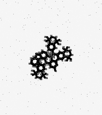 Cc1cc(-c2cc3c(cc2Nc2ccc4c(c2)C(C)(C)CCC4(C)C)C(C)(C)CCC3(C)C)c2c(c1)N(c1cc3c(cc1C)C(C)(C)CCC3(C)C)c1c(ccc3sc4ccccc4c13)B2